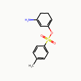 Cc1ccc(S(=O)(=O)OC2=CC[CH]C(N)=C2)cc1